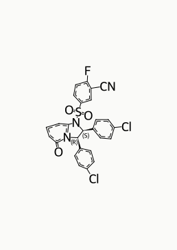 N#Cc1cc(S(=O)(=O)N2c3cccc(=O)n3[C@H](c3ccc(Cl)cc3)[C@@H]2c2ccc(Cl)cc2)ccc1F